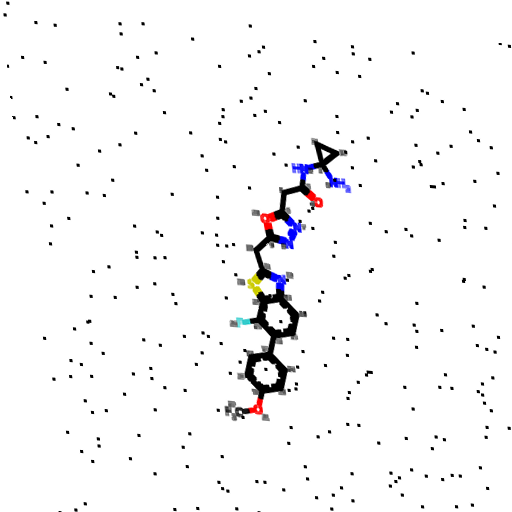 NC1(NC(=O)Cc2nnc(Cc3nc4ccc(-c5ccc(OC(F)(F)F)cc5)c(F)c4s3)o2)CC1